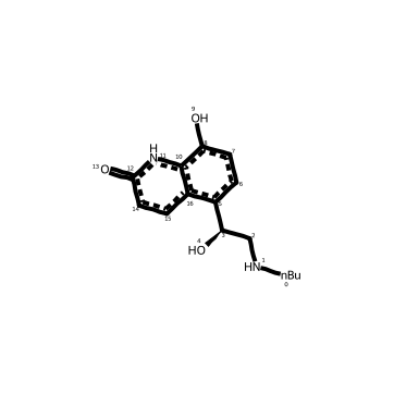 [CH2]CCCNC[C@@H](O)c1ccc(O)c2[nH]c(=O)ccc12